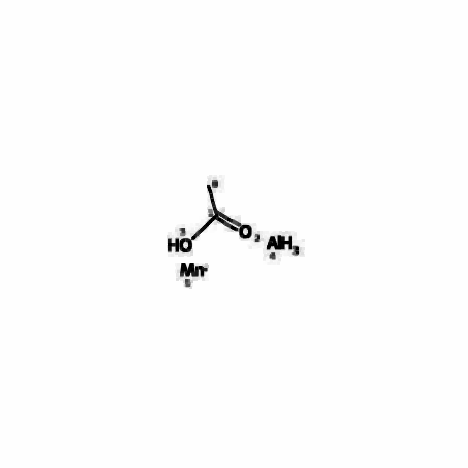 CC(=O)O.[AlH3].[Mn]